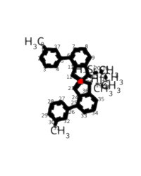 Cc1cccc(-c2cccc3c2C=C[CH]3[Hf]([CH3])([CH3])([CH3])([CH3])(=[SiH2])[CH]2C=Cc3c(-c4cccc(C)c4)cccc32)c1